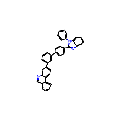 c1ccc(-n2c(-c3ccc(-c4cccc(-c5ccc6c(c5)ncc5ccccc56)c4)cc3)nc3ccccc32)cc1